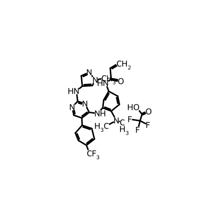 C=CC(=O)Nc1ccc(N(C)C)c(Nc2nc(Nc3cnn(C)c3)ncc2-c2ccc(C(F)(F)F)cc2)c1.O=C(O)C(F)(F)F